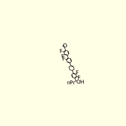 CCCC(O)c1ccc(C2CC=C(c3ccc(-c4ccc(C5CO5)c(F)c4F)c(F)c3)CC2)c(F)c1F